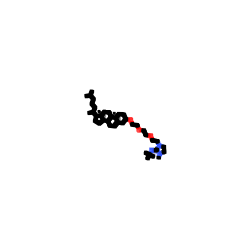 CC(C)CCCC(C)C1CCC2C3CC=C4CC(OCCOCCOCCN5CCN(C)/C5=N\C(C)(C)C)CC[C@]4(C)C3CC[C@]12C